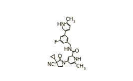 CC1=CC=C(c2cc(F)cc(CNC(=O)C3C=C(N4CCC(C#N)(C5CC5)C4=O)C=C(C)N3)c2)CN1